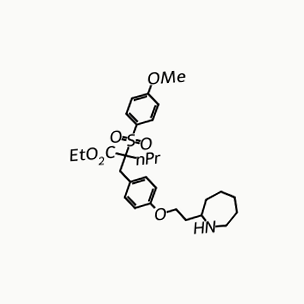 CCCC(Cc1ccc(OCCC2CCCCCN2)cc1)(C(=O)OCC)S(=O)(=O)c1ccc(OC)cc1